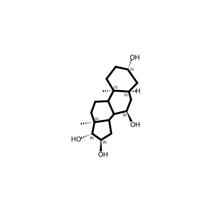 C[C@]12CCC3C(C1C[C@@H](O)[C@@H]2O)[C@H](O)C[C@@H]1C[C@@H](O)CC[C@]31C